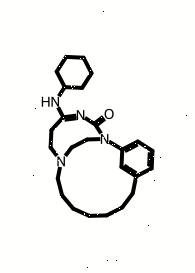 O=C1/N=C(/NC2CCCCC2)CCN2CCCCCCCc3cccc(c3)N1CC2